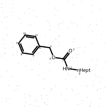 CCCCCCCNC(=O)OCc1ccccc1